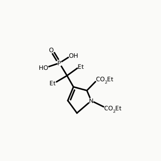 CCOC(=O)C1C(C(CC)(CC)P(=O)(O)O)=CCN1C(=O)OCC